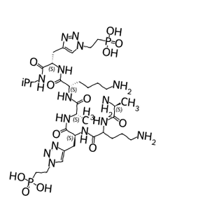 CC(C)NC(=O)[C@H](Cc1cn(CCP(=O)(O)O)nn1)NC(=O)[C@H](CCCCN)NC(=O)[C@H](C)NC(=O)[C@H](Cc1cn(CCP(=O)(O)O)nn1)NC(=O)C(CCCN)NC(=O)[C@H](C)N